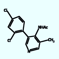 CC(=O)Nc1c(C)cncc1-c1ccc(Cl)cc1Cl